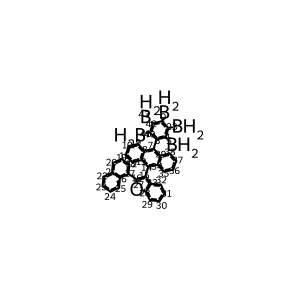 Bc1c(B)c(B)c(-c2c3ccccc3c(-c3c(-c4cccc5ccccc45)oc4ccccc34)c3ccccc23)c(B)c1B